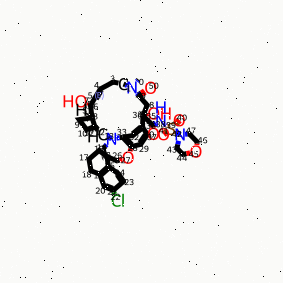 CN1CC/C=C/[C@H](O)[C@@H]2CC[C@H]2CN2C[C@@]3(CCCc4cc(Cl)ccc43)COc3ccc(cc32)[C@@](O)(C(=O)NS(=O)(=O)N2CCOCC2)CC1=O